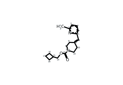 Cc1cccc(C=C2CCN(C(=O)OCC3CCC3)CC2)n1